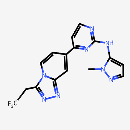 Cn1nccc1Nc1nccc(-c2ccn3c(CC(F)(F)F)nnc3c2)n1